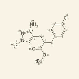 Cn1cc(SC(Cc2ccc(Cl)cc2)C(=O)OC(C)(C)C)c(N)n1